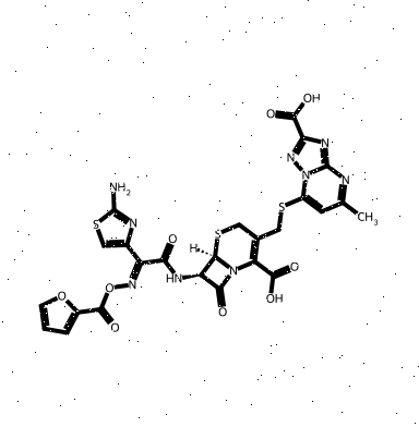 Cc1cc(SCC2=C(C(=O)O)N3C(=O)[C@@H](NC(=O)C(=NOC(=O)c4ccco4)c4csc(N)n4)[C@H]3SC2)n2nc(C(=O)O)nc2n1